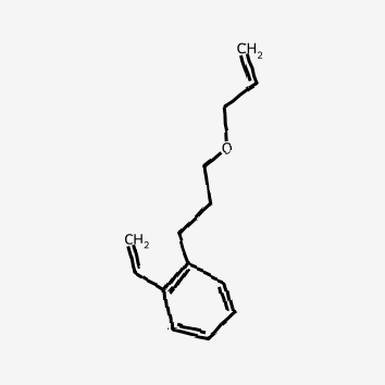 C=CCOCCCc1ccc[c]c1C=C